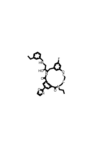 CCCN1CCCCOc2cc(F)cc(c2)CC(C(O)CNCc2cccc(CC)c2)NC(=O)c2cc(cc(-c3ncco3)c2)C1=O